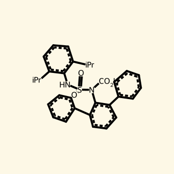 CC(C)c1cccc(C(C)C)c1NS(=O)(=O)N(C(=O)O)c1c(-c2ccccc2)cccc1-c1ccccc1